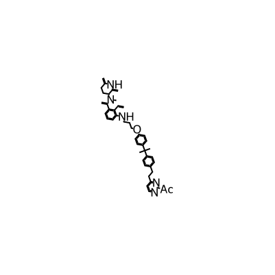 C=Cc1c(NCCCOc2ccc(C(C)(C)c3ccc(CCc4ccnc(C(C)=O)n4)cc3)cc2)cccc1C(=C)N(C)C1CCC(=C)NC1=C